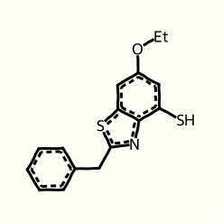 CCOc1cc(S)c2nc(Cc3ccccc3)sc2c1